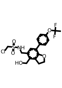 CC(F)(F)Oc1ccc(-c2cc(CNS(=O)(=O)CCl)c(CO)c3c2OCC3)cc1